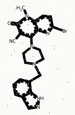 Cn1c(=O)c(C#N)c(N2CCN(Cc3cccc4cn[nH]c34)CC2)c2nc(Br)ccc21